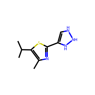 Cc1nc(C2=CNNN2)sc1C(C)C